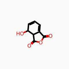 O=C1OC(=O)C2C1=CC=CC2O